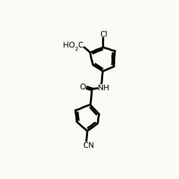 N#Cc1ccc(C(=O)Nc2ccc(Cl)c(C(=O)O)c2)cc1